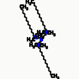 CCCCCCCCCCCCCCCC[N+](C)(C)CCCN(CC[N+](C)(C)CCCCCCCCCCCCCCCC)CC[N+](C)(C)CCCCCCCCCCCCCCCC